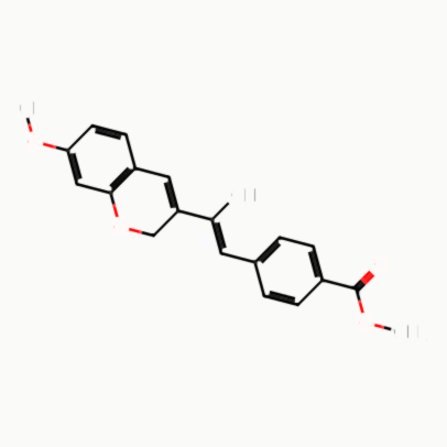 COC(=O)c1ccc(/C=C(\C)C2=Cc3ccc(OC)cc3OC2)cc1